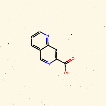 O=C(O)c1cc2ncccc2cn1